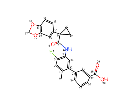 Cc1cc(F)c(NC(=O)C2(c3ccc4c(c3)OCO4)CC2)cc1-c1cccc(C(=O)O)c1